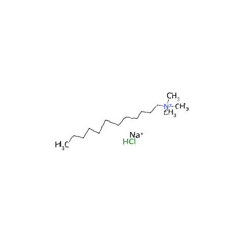 CCCCCCCCCCCC[N+](C)(C)C.Cl.[Na+]